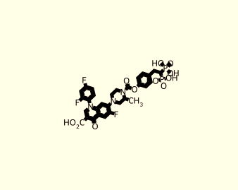 CC1CN(c2cc3c(cc2F)c(=O)c(C(=O)O)cn3-c2ccc(F)cc2F)CCN1C(=O)Oc1ccc(CC(P(=O)(O)O)P(=O)(O)O)cc1